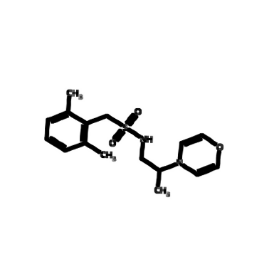 Cc1cccc(C)c1CS(=O)(=O)NCC(C)N1C=COC=C1